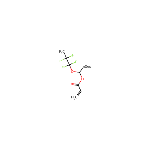 C=CC(=O)OC(CCCCCCCCCC)OC(F)(F)C(F)(F)C(F)(F)F